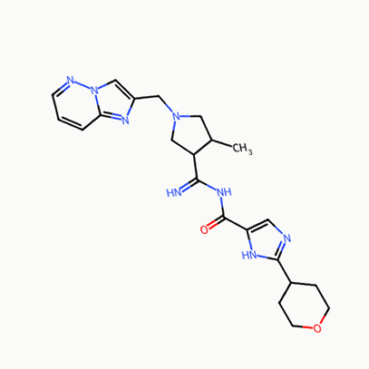 CC1CN(Cc2cn3ncccc3n2)CC1C(=N)NC(=O)c1cnc(C2CCOCC2)[nH]1